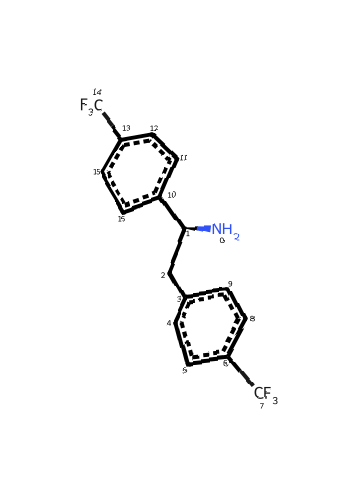 N[C@@H](Cc1ccc(C(F)(F)F)cc1)c1ccc(C(F)(F)F)cc1